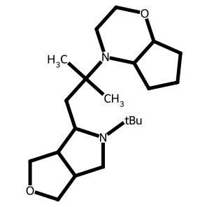 CC(C)(C)N1CC2COCC2C1CC(C)(C)N1CCOC2CCCC21